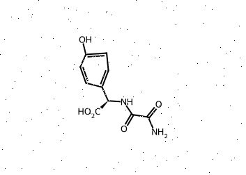 NC(=O)C(=O)N[C@@H](C(=O)O)c1ccc(O)cc1